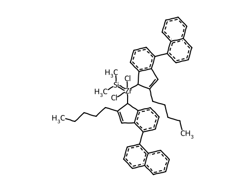 CCCCCC1=Cc2c(-c3cccc4ccccc34)cccc2[CH]1[Zr]([Cl])([Cl])([CH]1C(CCCCC)=Cc2c(-c3cccc4ccccc34)cccc21)=[Si](C)C